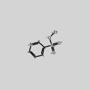 CCOS(=O)(=O)c1cccnc1